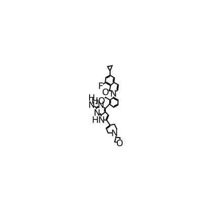 Nc1nc(-c2cccc(-n3ccc4cc(C5CC5)cc(F)c4c3=O)c2CO)c2cc(C3=CCN(C4COC4)CC3)[nH]c2n1